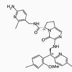 COc1cc(C)ccc1[C@@H](CNc1ncc2n(c1=O)[C@H](C(=O)NCc1ccc(N)nc1C)CC2)c1ccc(C)cn1